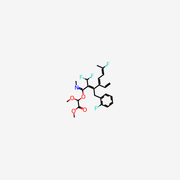 C=CC(=C\C=C(/C)F)/C(Cc1ccccc1F)=C(/C(=N\C)OC(OC)C(=O)OC)C(F)F